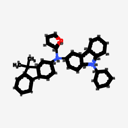 CC1(C)c2ccccc2-c2ccc(N(c3ccc4c(c3)c3ccccc3n4-c3ccccc3)c3ccco3)cc21